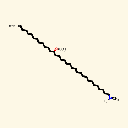 CCCCCC=CCC=CCC=CCCCCC(CCCCC=CCC=CCC=CCCCCCCCCN(C)C)OC(=O)O